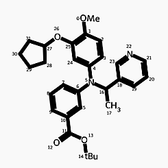 COc1ccc(N(c2cccc(C(=O)OC(C)(C)C)c2)C(C)c2cccnc2)cc1OC1CCCC1